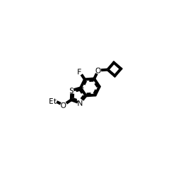 CCOc1nc2ccc(OC3CCC3)c(F)c2s1